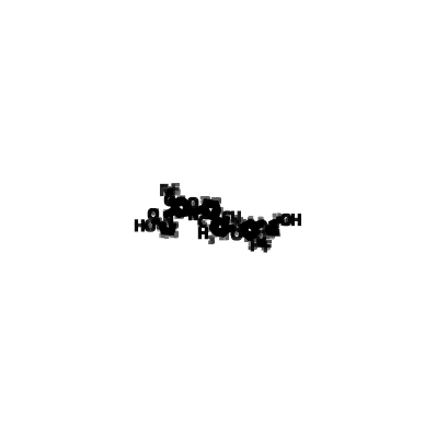 Cc1c(-c2nc3cc(CN4CC[C@@H]4CO)c(OC(F)F)cc3o2)cccc1-c1cccc(-c2nc3cc(CN4CCC[C@H]4C(=O)O)c(OC(F)F)cc3o2)c1C